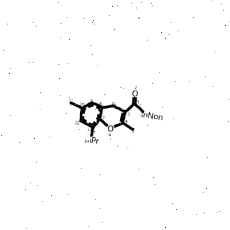 CCCCCCCCCC(=O)C1=C(C)Oc2c(cc(C)cc2C(C)C)C1